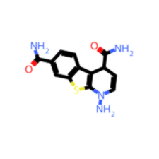 NC(=O)c1ccc2c3c(sc2c1)N(N)C=CC3C(N)=O